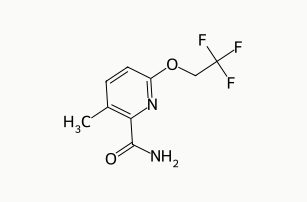 Cc1ccc(OCC(F)(F)F)nc1C(N)=O